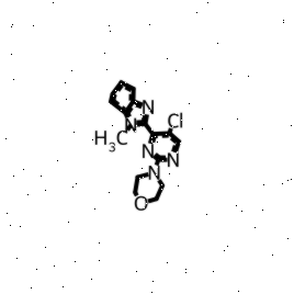 Cn1c(-c2nc(N3CCOCC3)ncc2Cl)nc2ccccc21